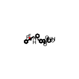 O=C1CCC(N2Cc3cc(C[C@H]4CCCC[C@@H]4NCC45CC(c6ccccc6)(C4)C5(F)F)ccc3C2=O)C(=O)N1